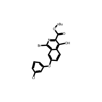 CCCCOC(=O)c1nc(Br)c2cc(Oc3cccc(Cl)c3)ccc2c1O